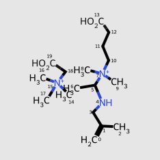 C=C(C)CNC(C)[N+](C)(C)CCCC(=O)O.C[N+](C)(C)CC(=O)O